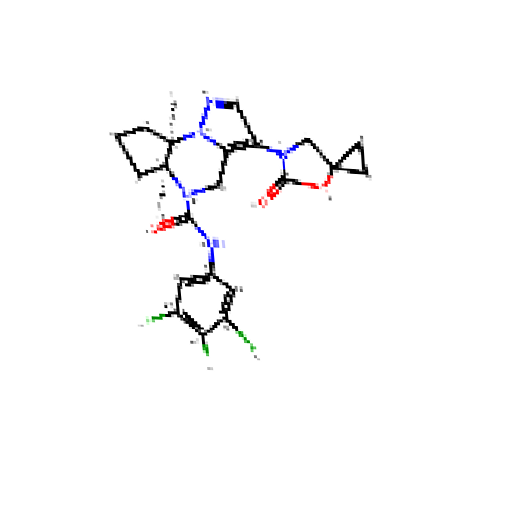 O=C1OC2(CC2)CN1c1cnn2c1CN(C(=O)Nc1cc(F)c(F)c(F)c1)[C@H]1CCC[C@H]12